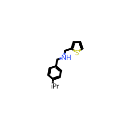 CC(C)c1ccc(CNCc2cccs2)cc1